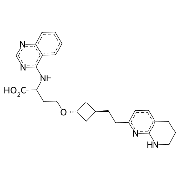 O=C(O)C(CCO[C@H]1C[C@H](CCc2ccc3c(n2)NCCC3)C1)Nc1ncnc2ccccc12